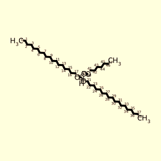 CCCCCCCCCCCCCCCCCCO[SiH](OCCCCCCCCCCCCCCCCCC)OOCCCCCCC